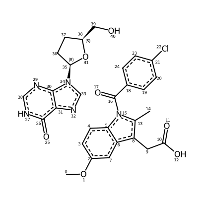 COc1ccc2c(c1)c(CC(=O)O)c(C)n2C(=O)c1ccc(Cl)cc1.O=c1[nH]cnc2c1ncn2[C@H]1CC[C@@H](CO)O1